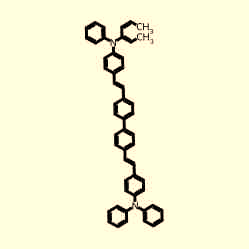 C/C=C\C(=C/C)N(c1ccccc1)c1ccc(/C=C/c2ccc(-c3ccc(/C=C/c4ccc(N(c5ccccc5)c5ccccc5)cc4)cc3)cc2)cc1